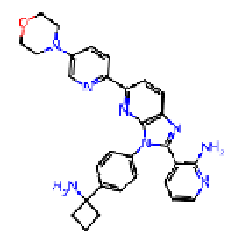 Nc1ncccc1-c1nc2ccc(-c3ccc(N4CCOCC4)cn3)nc2n1-c1ccc(C2(N)CCC2)cc1